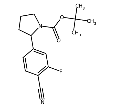 CC(C)(C)OC(=O)N1CCCC1c1ccc(C#N)c(F)c1